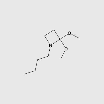 CCCCN1CCC1(OC)OC